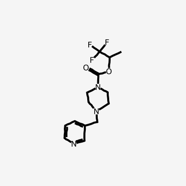 CC(OC(=O)N1CCN(Cc2cccnc2)CC1)C(F)(F)F